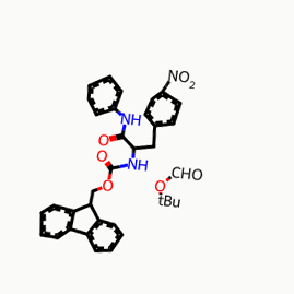 CC(C)(C)OC=O.O=C(NC(Cc1ccc([N+](=O)[O-])cc1)C(=O)Nc1ccccc1)OCC1c2ccccc2-c2ccccc21